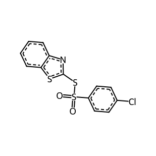 O=S(=O)(Sc1nc2ccccc2s1)c1ccc(Cl)cc1